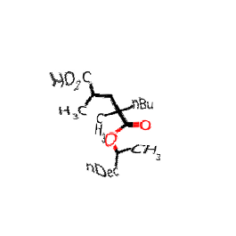 CCCCCCCCCCC(C)OC(=O)C(C)(CCCC)CC(C)C(=O)O